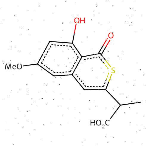 COc1cc(O)c2c(=O)sc(C(C)C(=O)O)cc2c1